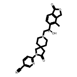 Cc1c([C@@H](O)CN2CCC3(CC2)CC(=O)N(c2ccc(C#N)cn2)C3)ccc2c1COC2=O